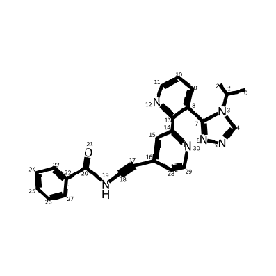 CC(C)n1cnnc1-c1cccnc1-c1cc(C#CNC(=O)c2ccccc2)ccn1